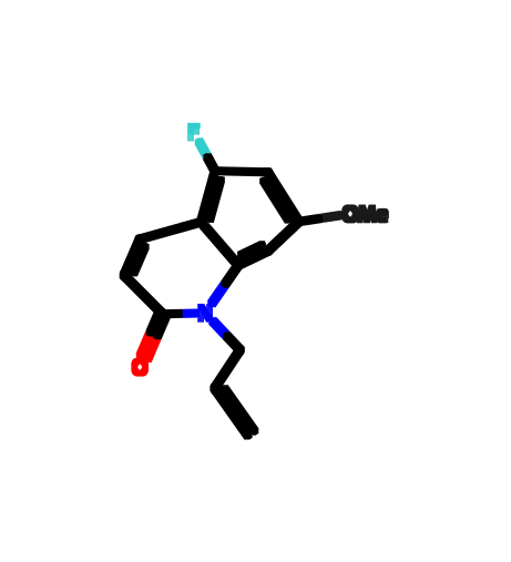 C=CCn1c(=O)ccc2c(F)cc(OC)cc21